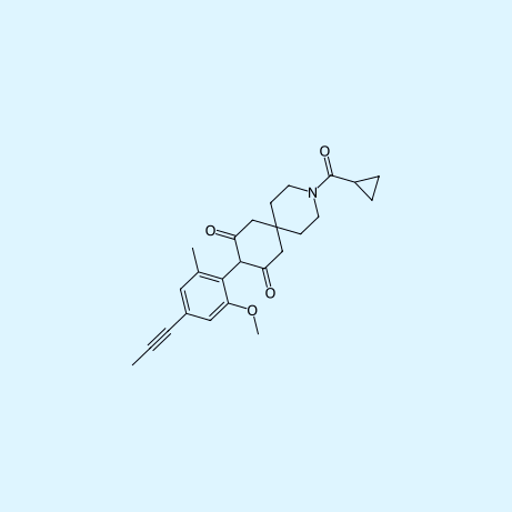 CC#Cc1cc(C)c(C2C(=O)CC3(CCN(C(=O)C4CC4)CC3)CC2=O)c(OC)c1